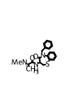 CN[C@@H](C)C(=O)NC1CSc2ccccc2N(Cc2ccccc2)C1=O